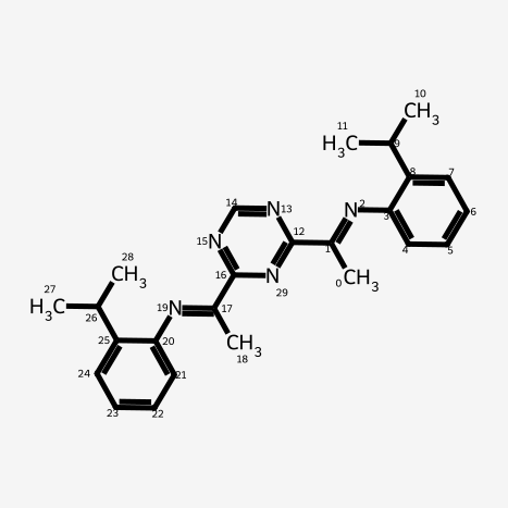 C/C(=N\c1ccccc1C(C)C)c1ncnc(/C(C)=N/c2ccccc2C(C)C)n1